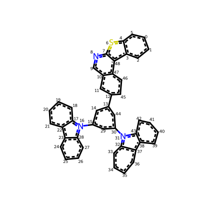 c1ccc2c(c1)sc1ncc3cc(-c4cc(-n5c6ccccc6c6ccccc65)cc(-n5c6ccccc6c6ccccc65)c4)ccc3c12